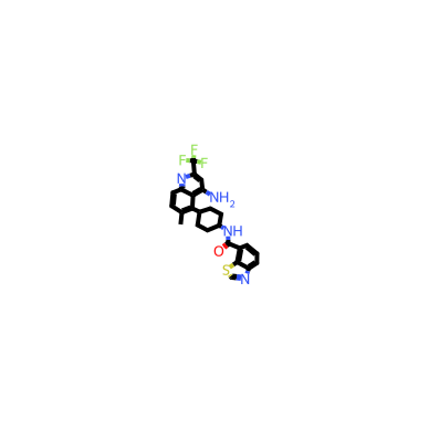 Cc1ccc2nc(C(F)(F)F)cc(N)c2c1C1CCC(NC(=O)c2cccc3ncsc23)CC1